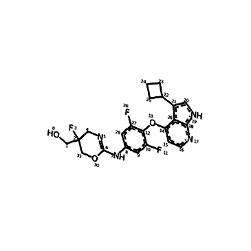 OCC1(F)CN=C(Nc2cc(F)c(Oc3ccnc4[nH]cc(C5CCC5)c34)c(F)c2)OC1